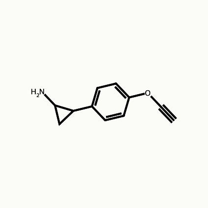 C#COc1ccc(C2CC2N)cc1